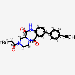 C#Cc1ccc(-c2ccc3c(c2)C(=O)N2CCN(C(=O)CC(C)(C)C)CC2C(=O)N3)cc1